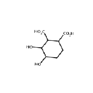 O=C(O)C1CCC(O)C(O)C1C(=O)O